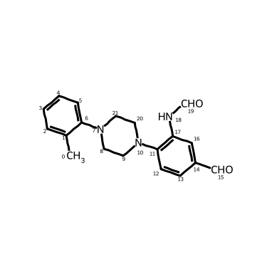 Cc1ccccc1N1CCN(c2ccc(C=O)cc2NC=O)CC1